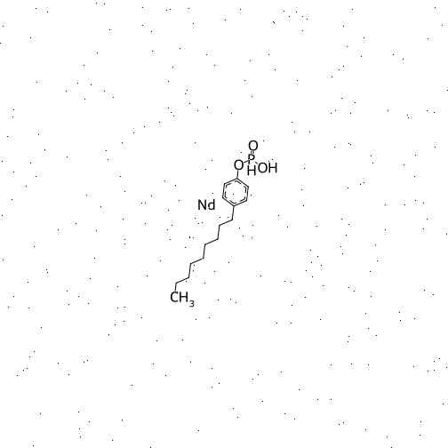 CCCCCCCCCc1ccc(O[PH](=O)O)cc1.[Nd]